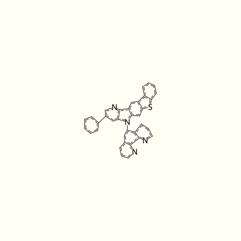 c1ccc(-c2cnc3c4cc5c(cc4n(-c4cc6cccnc6c6ncccc46)c3c2)sc2ccccc25)cc1